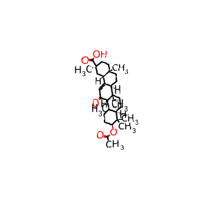 CC(=O)O[C@H]1CC[C@]2(C)[C@H]3C(=O)C=C4[C@@H](CC[C@@]5(C)CC[C@](C)(C(=O)O)C[C@@H]45)[C@]3(C)CC[C@H]2C1(C)C